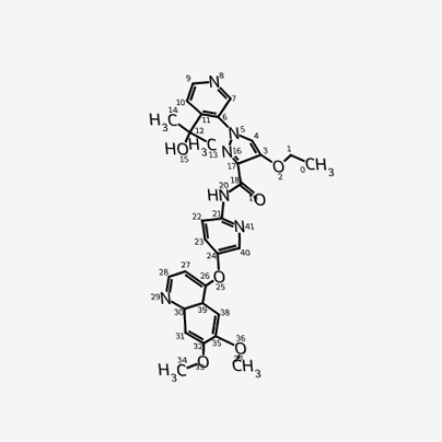 CCOc1cn(-c2cnccc2C(C)(C)O)nc1C(=O)Nc1ccc(OC2=CC=NC3C=C(OC)C(OC)=CC23)cn1